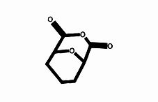 O=C1OC(=O)C2CCCC1O2